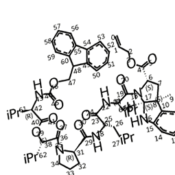 C=CCOC(=O)[C@@H]1C[C@@]2(C)c3ccccc3N[C@H]2N1C(=O)[C@H](NC(=O)[C@H](CC(C)C)NC(=O)[C@H]1CCCN1C(=O)[C@@H](OC(=O)[C@H](NC(=O)OCC1c2ccccc2-c2ccccc21)C(C)C)C(C)C)C(C)C